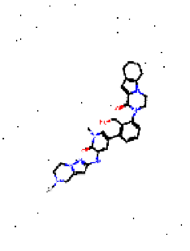 CC(=O)N1CCn2nc(Nc3cc(-c4cccc(N5CCn6c(cc7c6CCCC7)C5=O)c4CO)cn(C)c3=O)cc2C1